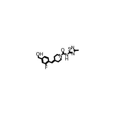 Cc1nsc(NC(=O)N2CCC(=Cc3ccc(CO)cc3F)CC2)n1